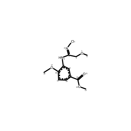 COC/C(=N\Cl)Nc1cc(C(=O)OC)ccc1OC